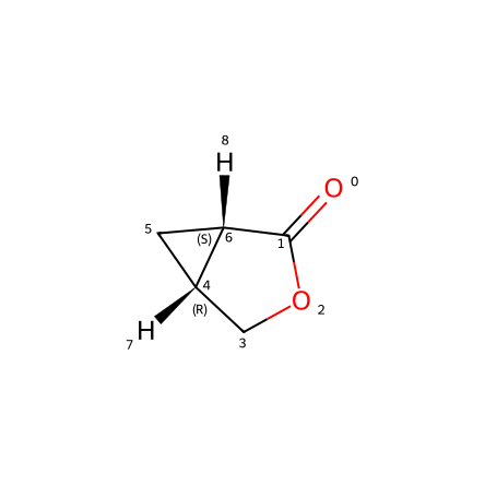 O=C1OC[C@@H]2C[C@H]12